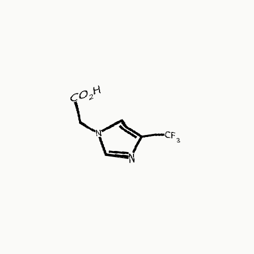 O=C(O)Cn1cnc(C(F)(F)F)c1